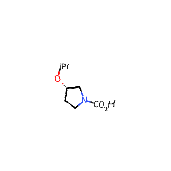 CC(C)O[C@H]1CCN(C(=O)O)C1